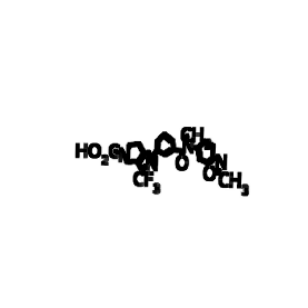 Cc1nc2ccc(N(C)C(=O)c3cccc(-n4nc(C(F)(F)F)c5c4CCN(C(=O)O)C5)c3)cc2o1